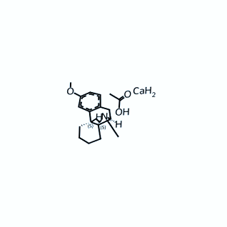 CC(=O)O.COc1ccc2c(c1)[C@]13CCCC[C@@H]1[C@H](C2)N(C)CC3.[CaH2]